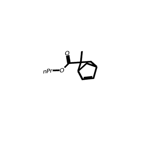 CCCOC(=O)C1(C)CC2C=CC1C2